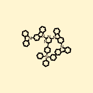 c1ccc([Si](c2ccccc2)(c2ccccc2)c2ccc(-c3cc(-n4c5ccccc5c5ccc(-n6c7ccccc7c7ccccc76)cc54)nc(-n4c5ccccc5c5cc(-n6c7ccccc7c7ccccc76)ccc54)n3)cc2)cc1